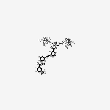 CC(C)(C)[Si](C)(C)OCCC[SH](O)(CCCO[Si](C)(C)C(C)(C)C)=NC(=O)c1cncc(C#Cc2cccc(NC(=O)c3cccc(C(F)(F)F)c3)c2)c1